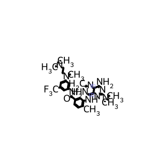 C=C/N=C1/C(N)=NC(N(C)C)=N/C1=C(/N)Nc1cc(C(=O)Nc2cc(N(C)CCN(C)C)cc(C(F)(F)F)c2)ccc1C